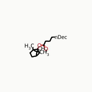 CCCCCCCCCCCCCC(=O)OC1CC2CCC1(C)C2(C)C